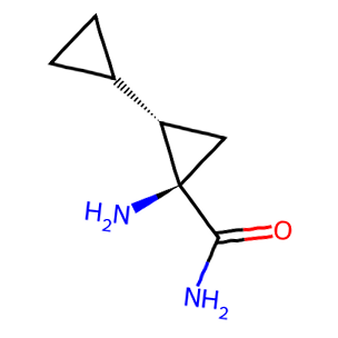 NC(=O)[C@@]1(N)C[C@H]1C1CC1